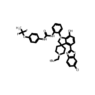 CC(C)(C)CN1CCC2(CC1)CN(c1ccccc1NC(=O)Nc1ccc(OC(C)(F)F)cc1)c1c(O)ccc(-c3nc4ccc(Cl)cc4s3)c12